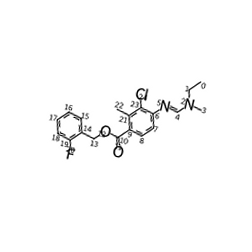 CCN(C)/C=N/c1ccc(C(=O)OCc2ccccc2F)c(C)c1Cl